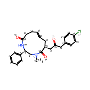 CN1C[C@@H](c2ccccc2)NC(=O)CC/C=C/C[C@@H](CC(=O)Cc2ccc(Cl)cc2)C1=O